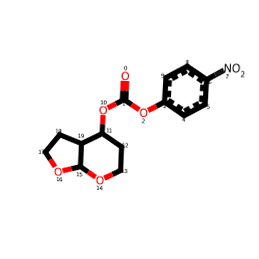 O=C(Oc1ccc([N+](=O)[O-])cc1)OC1CCOC2OCCC12